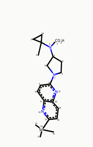 CC1(N(C(=O)O)C2CCN(c3ccc4n[c]([Sn]([CH3])([CH3])[CH3])ccc4n3)C2)CC1